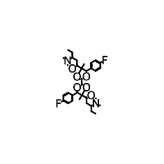 CCC(CC(=O)C(C)(C)C(OC(=O)C(=O)OC(c1ccc(F)cc1)C(C)(C)C(=O)CC(CC)N(C)C)c1ccc(F)cc1)N(C)C